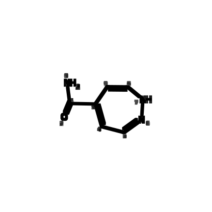 NC(=O)C1=CC=NNC=C1